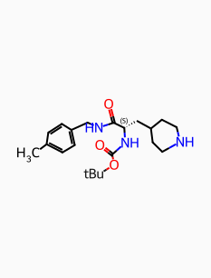 Cc1ccc(CNC(=O)[C@H](CC2CCNCC2)NC(=O)OC(C)(C)C)cc1